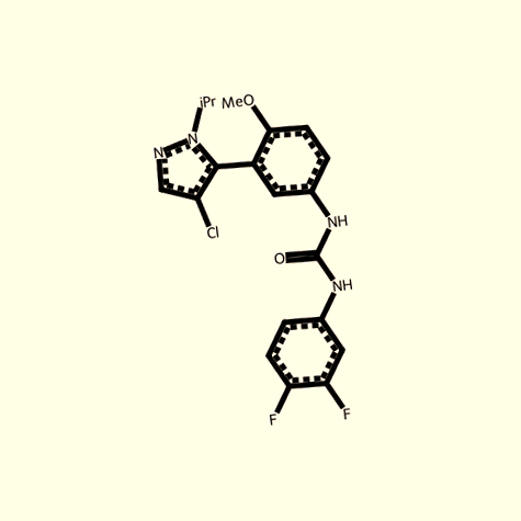 COc1ccc(NC(=O)Nc2ccc(F)c(F)c2)cc1-c1c(Cl)cnn1C(C)C